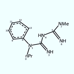 CCCN(C(=N)NC(=N)NC)c1ccccc1